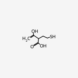 C=C(O)C(CCS)C(=O)O